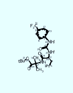 CC(C)C[C@H](NC(=O)Nc1ccc(C(F)(F)F)cc1)C(=O)NC(C)(C)C(=O)OC(C)(C)C